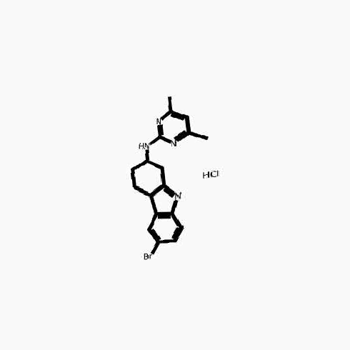 Cc1cc(C)nc(NC2CCC3C(=Nc4ccc(Br)cc43)C2)n1.Cl